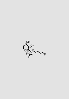 O[C@@H]1[C@@H]([C@@H](OCCCCF)C(F)(F)F)OCC[C@H]1O